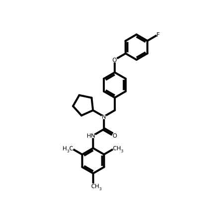 Cc1cc(C)c(NC(=O)N(Cc2ccc(Oc3ccc(F)cc3)cc2)C2CCCC2)c(C)c1